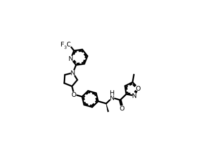 Cc1cc(C(=O)N[C@@H](C)c2ccc(OC3CCN(c4cccc(C(F)(F)F)n4)C3)cc2)no1